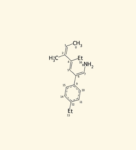 C\C=C(C)/C(=C/C(=C\N)c1ccc(CC)cc1)CC